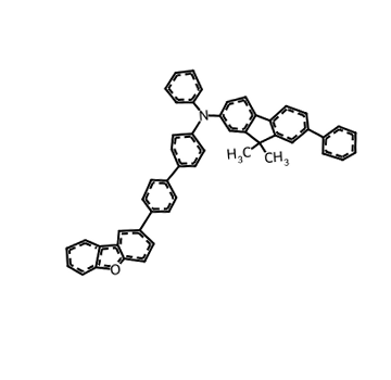 CC1(C)c2cc(-c3ccccc3)ccc2-c2ccc(N(c3ccccc3)c3ccc(-c4ccc(-c5ccc6oc7ccccc7c6c5)cc4)cc3)cc21